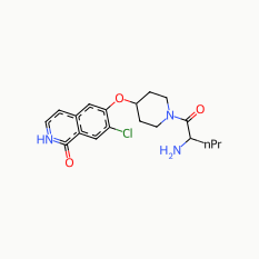 CCCC(N)C(=O)N1CCC(Oc2cc3cc[nH]c(=O)c3cc2Cl)CC1